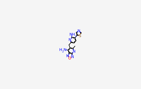 Cc1nc2nonc2c(N)c1Cc1ccc(-c2cncs2)c(N)n1